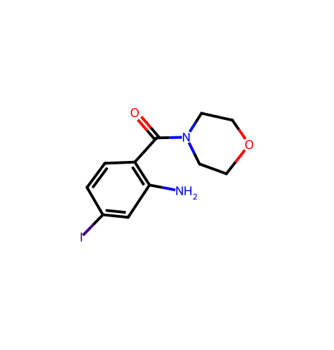 Nc1cc(I)ccc1C(=O)N1CCOCC1